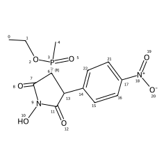 CCOP(C)(=O)[C@H]1C(=O)N(O)C(=O)C1c1ccc([N+](=O)[O-])cc1